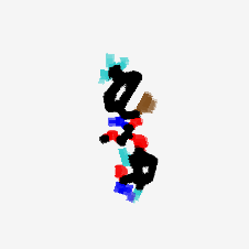 COCC(Oc1ccc(F)c(C(N)=O)c1F)C1NC(c2ccc(C(F)(F)F)cc2)=C(Br)O1